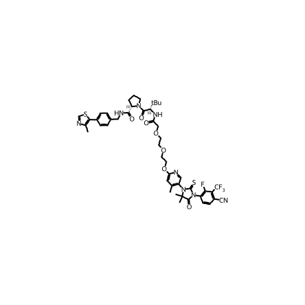 Cc1cc(OCCOCCOCC(=O)N[C@H](C(=O)N2CCC[C@H]2C(=O)NCc2ccc(-c3scnc3C)cc2)C(C)(C)C)ncc1N1C(=S)N(c2ccc(C#N)c(C(F)(F)F)c2F)C(=O)C1(C)C